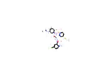 CSc1ccc(S(=O)(=O)C[C@@H]2CC[C@@H](NC(C)C)C[C@@H]2NC(=O)CNC(=O)c2cc(C(F)(F)F)ccc2N)cc1